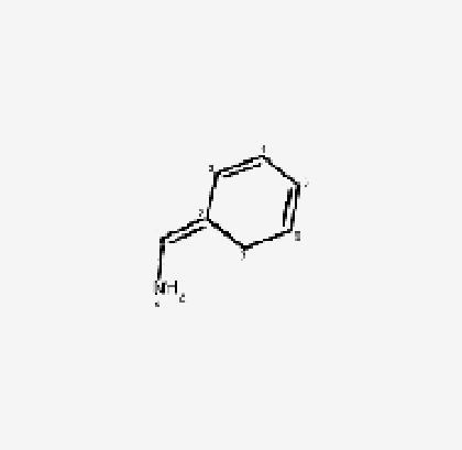 N/C=C1/C=CC=CC1